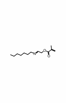 C=C(C)C(=O)OCC=NCCCCCCC